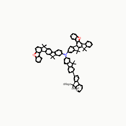 CCCCCCCC1(CCCCCCC)c2ccccc2-c2ccc(-c3ccc4c(c3)C(C)(C)c3cc(N(c5ccc6c(c5)C(C)(C)c5cc7c(cc5-6)C(C)(C)c5ccc6oc8ccccc8c6c5-7)c5ccc6c(c5)C(C)(C)c5c7c(c8oc9ccccc9c8c5-6)-c5ccccc5C7(C)C)ccc3-4)cc21